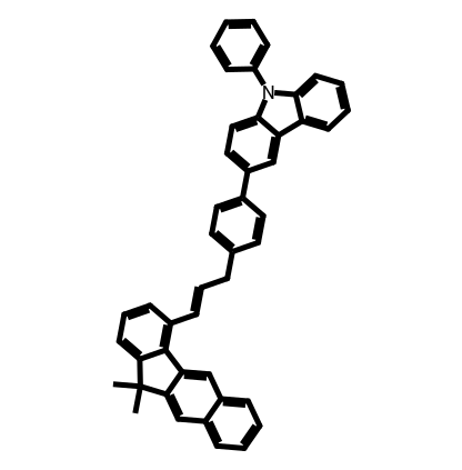 CC1(C)c2cc3ccccc3cc2-c2c(/C=C/Cc3ccc(-c4ccc5c(c4)c4ccccc4n5-c4ccccc4)cc3)cccc21